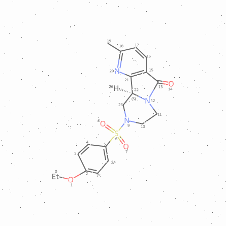 CCOc1ccc(S(=O)(=O)N2CCN3C(=O)c4ccc(C)nc4[C@@H]3C2)cc1